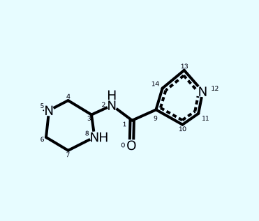 O=C(NC1C[N]CCN1)c1ccncc1